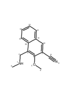 CNCc1c(OC)c(C#N)cc2ccccc12